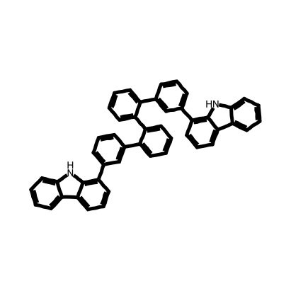 c1cc(-c2ccccc2-c2ccccc2-c2cccc(-c3cccc4c3[nH]c3ccccc34)c2)cc(-c2cccc3c2[nH]c2ccccc23)c1